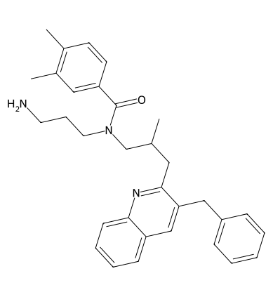 Cc1ccc(C(=O)N(CCCN)CC(C)Cc2nc3ccccc3cc2Cc2ccccc2)cc1C